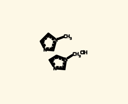 Cl.Cn1ccnc1.Cn1ccnc1